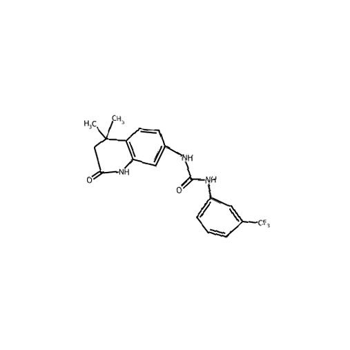 CC1(C)CC(=O)Nc2cc(NC(=O)Nc3cccc(C(F)(F)F)c3)ccc21